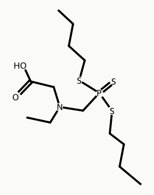 CCCCSP(=S)(CN(CC)CC(=O)O)SCCCC